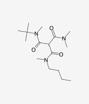 CCCCN(C)C(=O)[C](C(=O)N(C)C)C(=O)N(C)C(C)(C)C